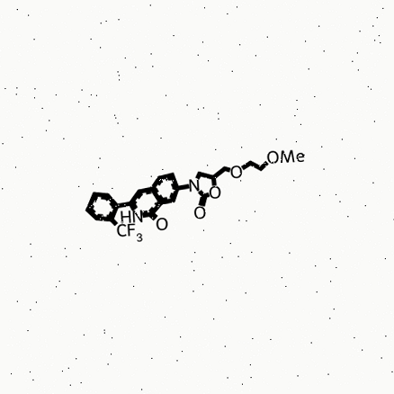 COCCOCC1CN(c2ccc3cc(-c4ccccc4C(F)(F)F)[nH]c(=O)c3c2)C(=O)O1